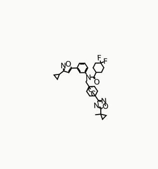 CC1(c2nc(C34CCC(CN(C(=O)C5CCC(F)(F)CC5)c5cccc(-c6cc(C7CC7)no6)c5)(CC3)CC4)no2)CC1